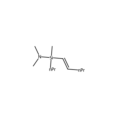 CCCC=C[Si](C)(CCC)N(C)C